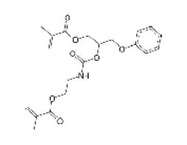 C=C(C)C(=O)OCCNC(=O)OC(COC(=O)C(=C)C)COc1ccccc1